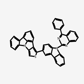 c1ccc(-c2nc(-n3c4ccccc4c4cc(-c5scc6c5c5cccc7c8ccccc8n6c75)ccc43)nc3ccccc23)cc1